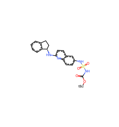 CC(C)(C)OC(=O)NS(=O)(=O)Nc1ccc2nc(N[C@@H]3CCc4ccccc43)ccc2c1